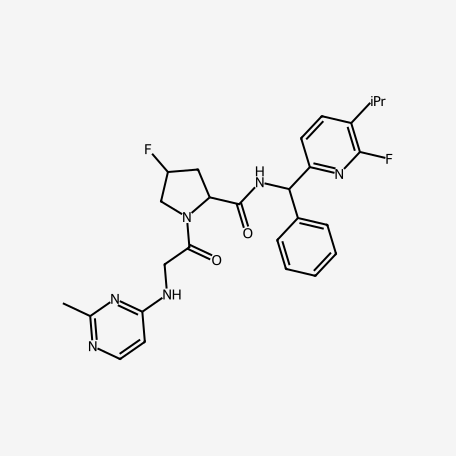 Cc1nccc(NCC(=O)N2CC(F)CC2C(=O)NC(c2ccccc2)c2ccc(C(C)C)c(F)n2)n1